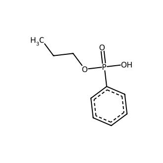 CCCOP(=O)(O)c1ccccc1